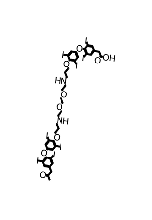 CC(=O)Cc1cc(I)c(Oc2cc(I)c(OCCCNCCOCCOCCNCCCOc3c(I)cc(Oc4c(I)cc(CC(=O)O)cc4I)cc3I)c(I)c2)c(I)c1